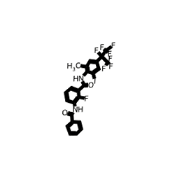 Cc1cc(C(F)(C(F)(F)F)C(F)(F)F)cc(I)c1NC(=O)c1cccc(NC(=O)c2ccccc2)c1F